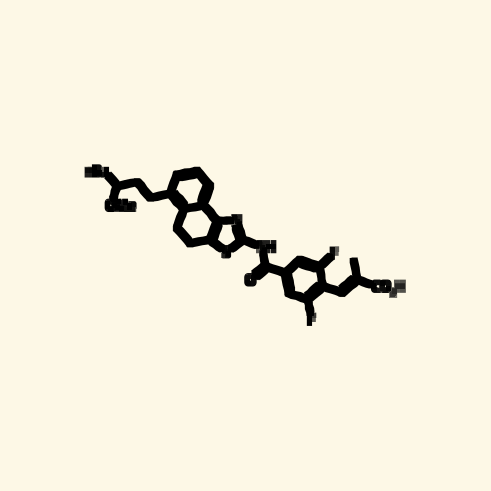 CCCCC(CCc1cccc2c1CCc1sc(NC(=O)c3cc(F)c(C=C(C)C(=O)O)c(F)c3)nc1-2)OC